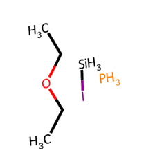 CCOCC.P.[SiH3]I